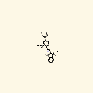 CCOc1cc(N(CC)CC)ccc1/C=C/C1=[N+](C)c2ccccc2C1(C)CC